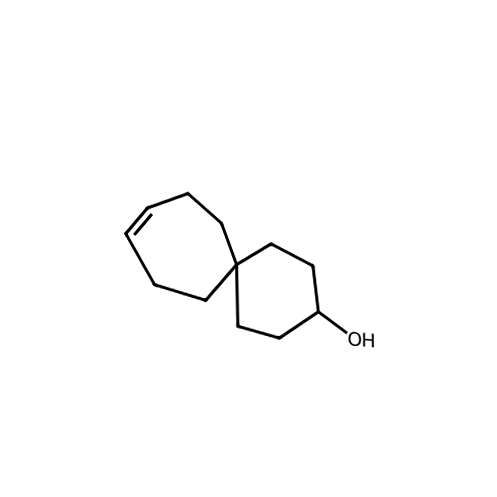 OC1CCC2(CCC=CCC2)CC1